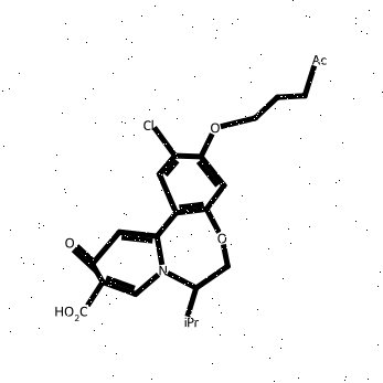 CC(=O)CCCOc1cc2c(cc1Cl)-c1cc(=O)c(C(=O)O)cn1C(C(C)C)CO2